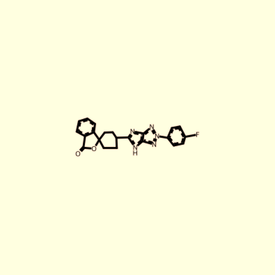 O=C1OC2(CCC(c3nc4nn(-c5ccc(F)cc5)nc4[nH]3)CC2)c2ccccc21